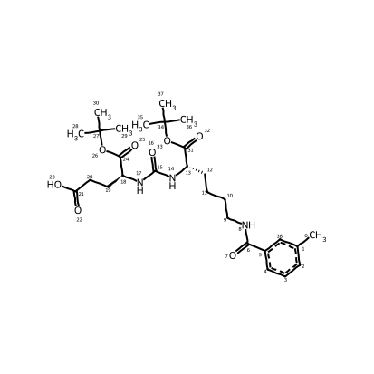 Cc1cccc(C(=O)NCCCC[C@H](NC(=O)N[C@@H](CCC(=O)O)C(=O)OC(C)(C)C)C(=O)OC(C)(C)C)c1